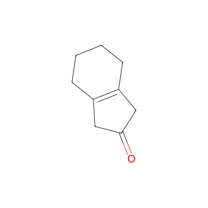 O=C1CC2=C(CCCC2)C1